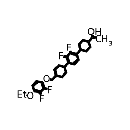 CCOc1ccc(OCC2CCC(c3ccc(C4CCC(C(C)O)CC4)c(F)c3F)CC2)c(F)c1F